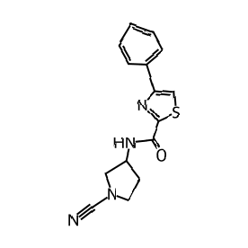 N#CN1CCC(NC(=O)c2nc(-c3ccccc3)cs2)C1